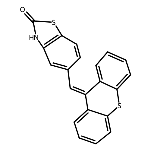 O=c1[nH]c2cc(C=C3c4ccccc4Sc4ccccc43)ccc2s1